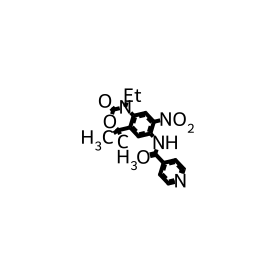 CCN1C(=O)OC(C)(C)c2cc(NC(=O)c3ccncc3)c([N+](=O)[O-])cc21